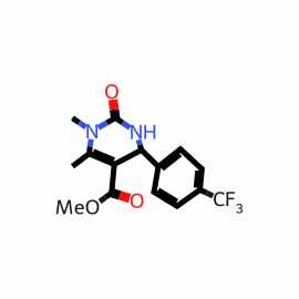 COC(=O)C1=C(C)N(C)C(=O)NC1c1ccc(C(F)(F)F)cc1